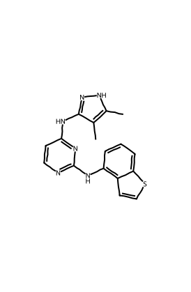 Cc1[nH]nc(Nc2ccnc(Nc3cccc4sccc34)n2)c1C